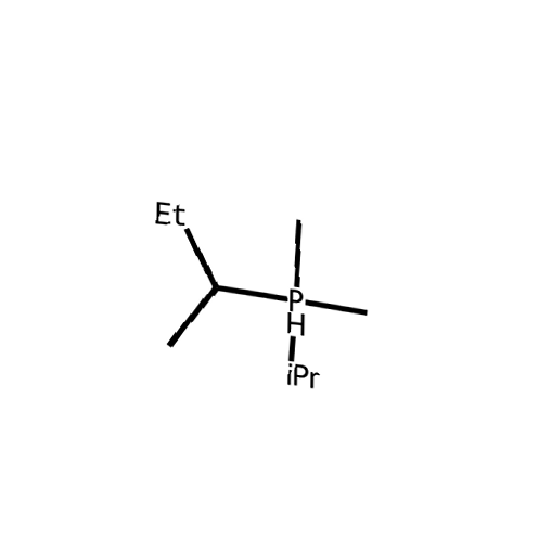 CCC(C)[PH](C)(C)C(C)C